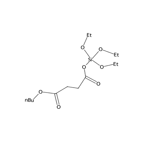 CCCCOC(=O)CCC(=O)O[Si](OCC)(OCC)OCC